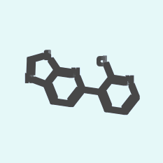 Clc1ncccc1-c1ccc2ncsc2n1